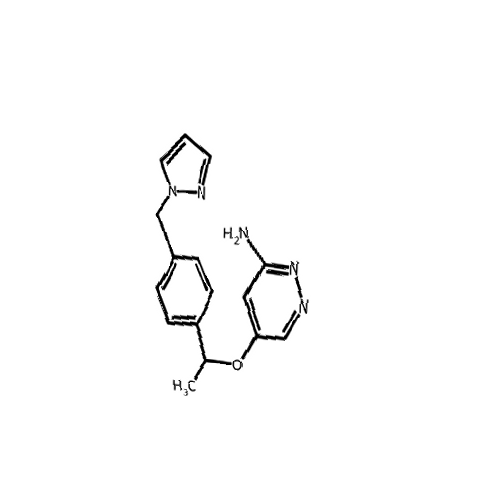 CC(Oc1cnnc(N)c1)c1ccc(Cn2cccn2)cc1